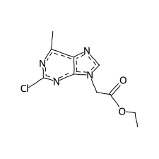 CCOC(=O)Cn1cnc2c(C)nc(Cl)nc21